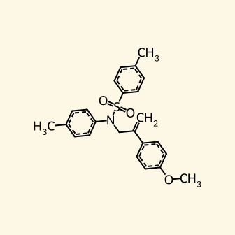 C=C(CN(c1ccc(C)cc1)S(=O)(=O)c1ccc(C)cc1)c1ccc(OC)cc1